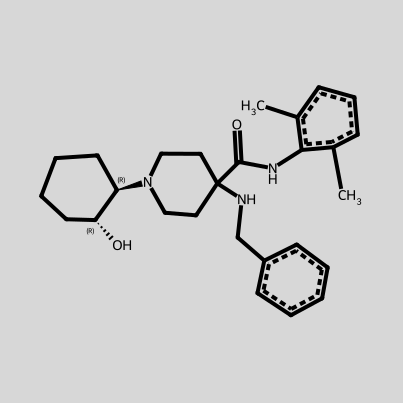 Cc1cccc(C)c1NC(=O)C1(NCc2ccccc2)CCN([C@@H]2CCCC[C@H]2O)CC1